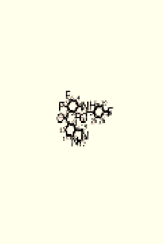 O=C(Nc1cc(F)c(F)c(C(=O)c2ccc3ncncc3c2)c1F)c1ccc(F)cc1